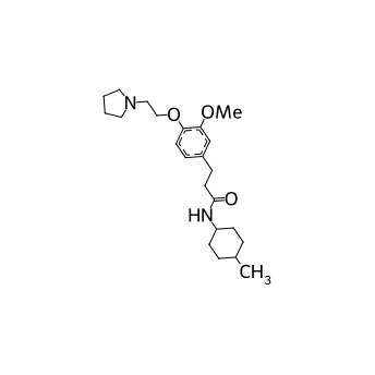 COc1cc(CCC(=O)NC2CCC(C)CC2)ccc1OCCN1CCCC1